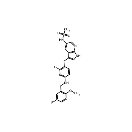 COc1ncc(F)cc1CNc1ccc(Cc2c[nH]c3ncc(NS(C)(=O)=O)cc23)c(F)n1